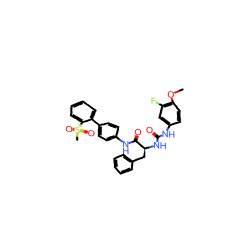 COc1ccc(NC(=O)N[C@@H](Cc2ccccc2)C(=O)Nc2ccc(-c3ccccc3S(C)(=O)=O)cc2)cc1F